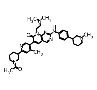 CC(=O)N1CCCC(c2cc(C)c(-c3cc4cnc(Nc5ccc(C6CCCN(C)C6)cc5)nc4n(CCN(C)C)c3=O)cn2)C1